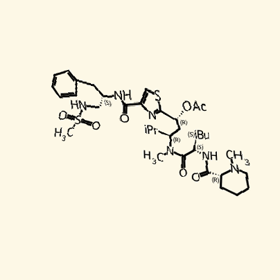 CC[C@H](C)[C@H](NC(=O)[C@H]1CCCCN1C)C(=O)N(C)[C@H](C[C@@H](OC(C)=O)c1nc(C(=O)N[C@H](CNS(C)(=O)=O)Cc2ccccc2)cs1)C(C)C